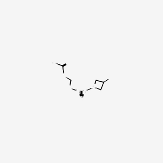 CC(C)(C)C(=O)OCOn1on1N1CC(O)C1